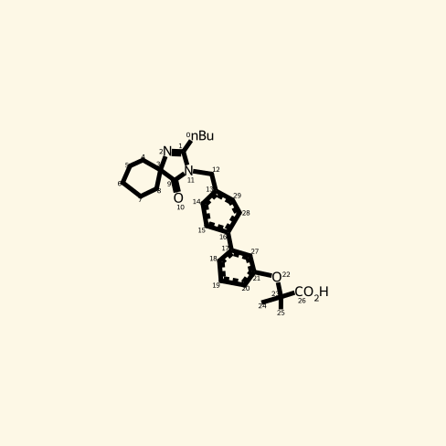 CCCCC1=NC2(CCCCC2)C(=O)N1Cc1ccc(-c2cccc(OC(C)(C)C(=O)O)c2)cc1